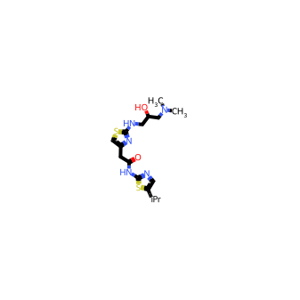 CC(C)c1cnc(NC(=O)Cc2csc(NCC(O)CN(C)C)n2)s1